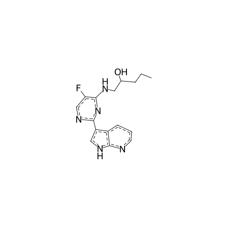 CCCC(O)CNc1nc(-c2c[nH]c3ncccc23)ncc1F